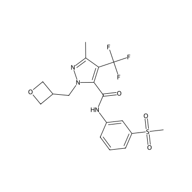 Cc1nn(CC2COC2)c(C(=O)Nc2cccc(S(C)(=O)=O)c2)c1C(F)(F)F